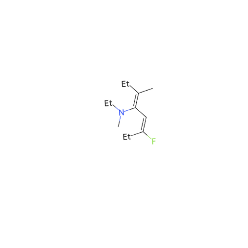 CC/C(C)=C(/C=C(/F)CC)N(C)CC